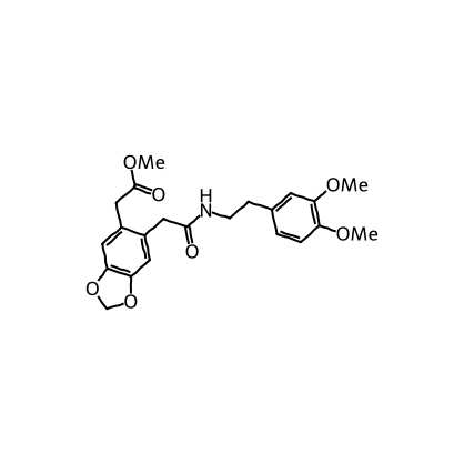 COC(=O)Cc1cc2c(cc1CC(=O)NCCc1ccc(OC)c(OC)c1)OCO2